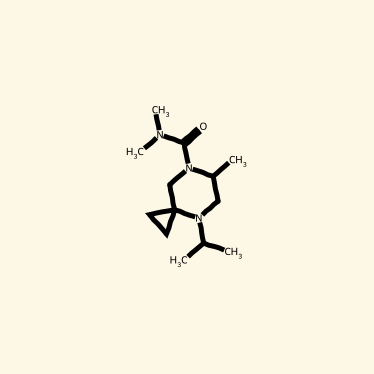 CC1CN(C(C)C)C2(CC2)CN1C(=O)N(C)C